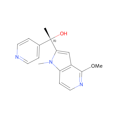 COc1nccc2c1cc([C@@](C)(O)c1ccncc1)n2C